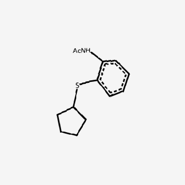 CC(=O)Nc1ccccc1SC1CCCC1